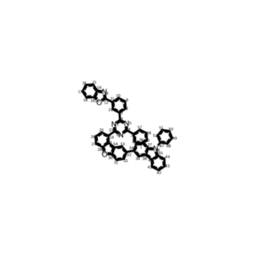 c1ccc(-c2nc(-c3cccc(-c4nc5ccccc5o4)c3)nc(-c3cccc4oc5ccc(-c6ccc7c(c6)c6ccccc6n7-c6ccccc6)cc5c34)n2)cc1